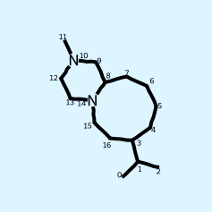 CC(C)C1CCCCC2CN(C)CCN2CC1